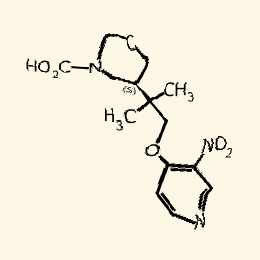 CC(C)(COc1ccncc1[N+](=O)[O-])[C@@H]1CCCN(C(=O)O)C1